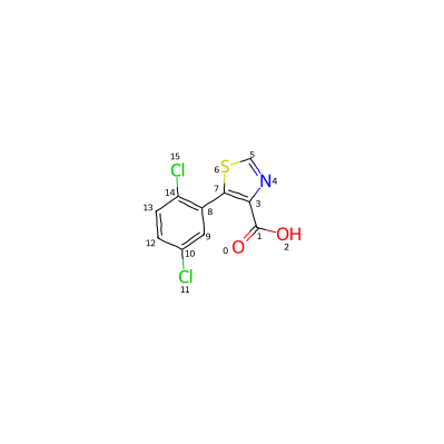 O=C(O)c1ncsc1-c1cc(Cl)ccc1Cl